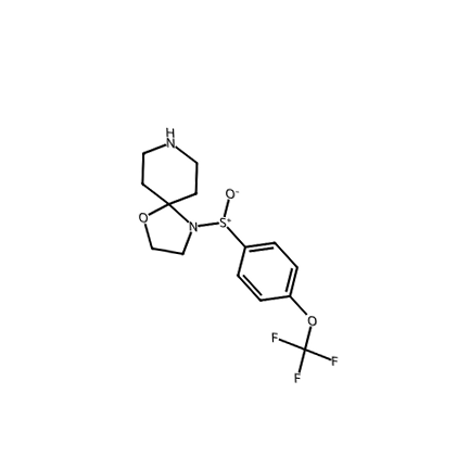 [O-][S+](c1ccc(OC(F)(F)F)cc1)N1CCOC12CCNCC2